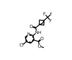 COC(=O)c1cc(Cl)cnc1NC(=O)C12CC(C(F)(F)F)(C1)C2